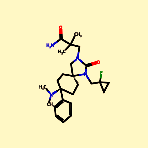 CN(C)[C@]1(c2ccccc2)CC[C@]2(CC1)CN(CC(C)(C)C(N)=O)C(=O)N2CC1(F)CC1